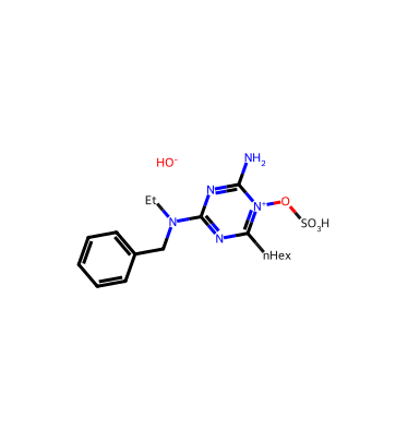 CCCCCCc1nc(N(CC)Cc2ccccc2)nc(N)[n+]1OS(=O)(=O)O.[OH-]